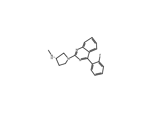 CN[C@H]1CCN(c2nc(-c3ccccc3F)c3ccccc3n2)C1